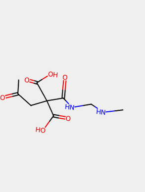 CNCNC(=O)C(CC(C)=O)(C(=O)O)C(=O)O